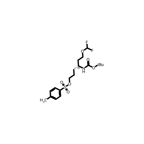 Cc1ccc(S(=O)(=O)OCCC[C@H](CCOC(F)F)NC(=O)OC(C)(C)C)cc1